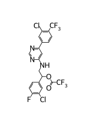 O=C(OC(CNc1cc(-c2ccc(C(F)(F)F)c(Cl)c2)ncn1)c1ccc(F)c(Cl)c1)C(F)(F)F